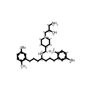 Cc1ccc(C(C)(C)C)cc1CCCC(CCCc1cc(C(C)(C)C)ccc1C)NCC1CCN(CC(O)CN)CC1